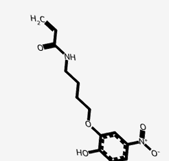 C=CC(=O)NCCCCOc1cc([N+](=O)[O-])ccc1O